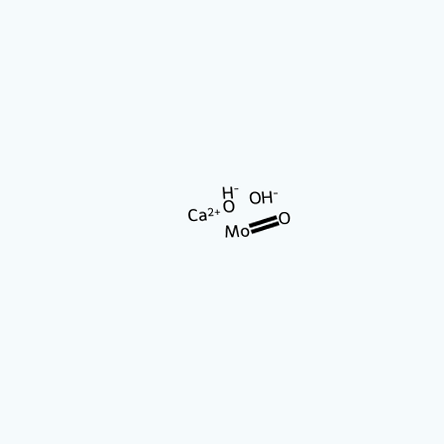 [Ca+2].[OH-].[OH-].[O]=[Mo]